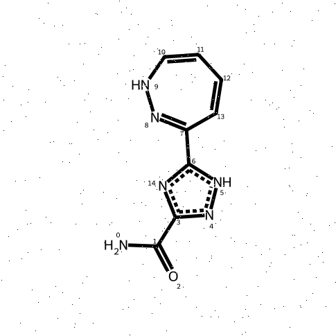 NC(=O)c1n[nH]c(C2=NNC=CC=C2)n1